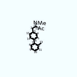 CN[C@@H](Cc1ccc(-c2ccccc2C)cc1)C(C)=O